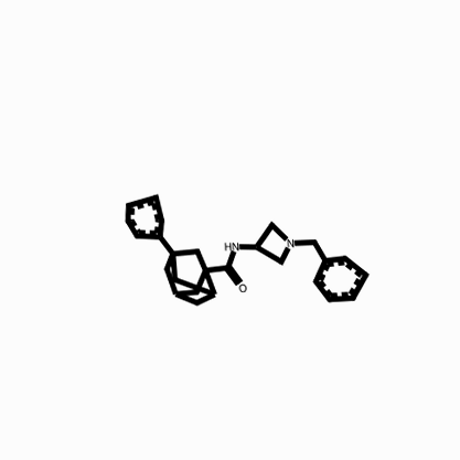 O=C(NC1CN(Cc2ccccc2)C1)C12CC3CC1CC(c1ccccc1)(C3)C2